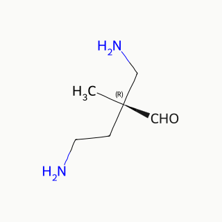 C[C@](C=O)(CN)CCN